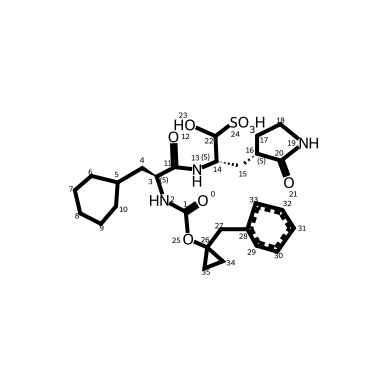 O=C(N[C@@H](CC1CCCCC1)C(=O)N[C@@H](C[C@@H]1CCNC1=O)C(O)S(=O)(=O)O)OC1(Cc2ccccc2)CC1